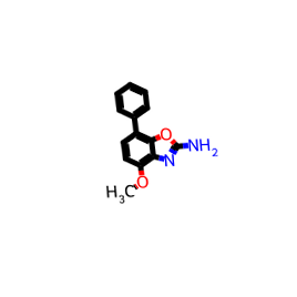 COc1ccc(-c2ccccc2)c2oc(N)nc12